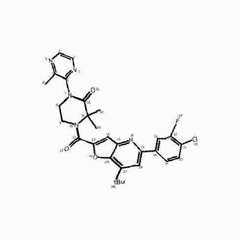 Cc1nccnc1N1CCN(C(=O)c2cc3nc(-c4ccc(Cl)c(F)c4)cc(C(C)(C)C)c3o2)C(C)(C)C1=O